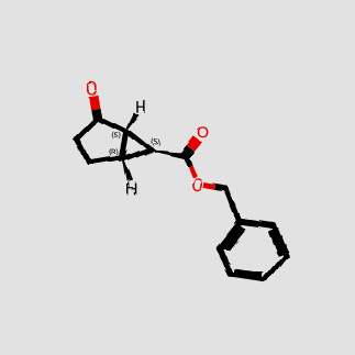 O=C1CC[C@@H]2[C@H]1[C@H]2C(=O)OCc1ccccc1